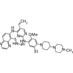 C=Cc1cnc(Nc2cc(CC)c(N3CCC(N4CCN(C)CC4)CC3)cc2OC)nc1Nc1ccc2nccnc2c1SNC(C)C